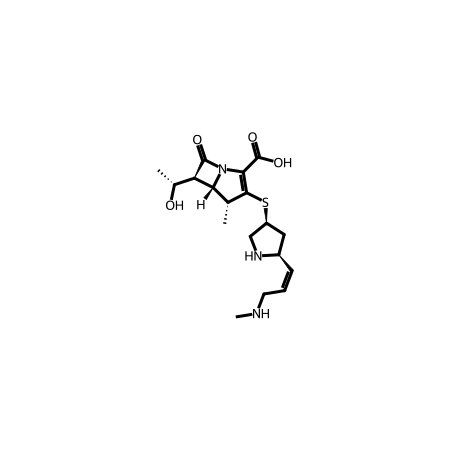 CNC/C=C\[C@@H]1C[C@H](SC2=C(C(=O)O)N3C(=O)[C@H]([C@@H](C)O)[C@H]3[C@H]2C)CN1